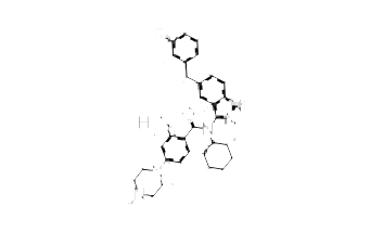 CN1CCN(c2ccc(C(=O)N(c3n[nH]c4ccc(Cc5cccc(F)c5)cc34)C3CCCCC3)c(N)c2)CC1